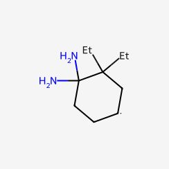 CCC1(CC)C[CH]CCC1(N)N